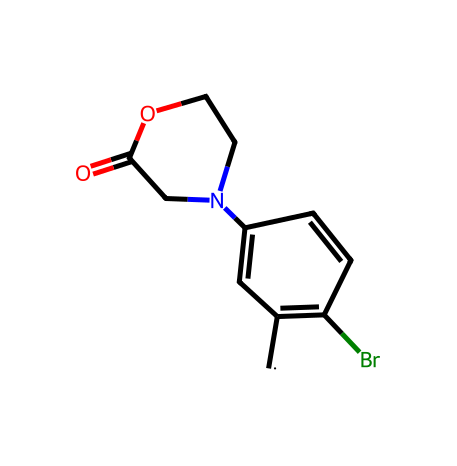 [CH2]c1cc(N2CCOC(=O)C2)ccc1Br